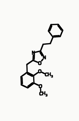 COc1cccc(Cc2nc(CCc3ccccc3)no2)c1OC